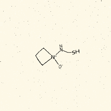 [O-][N+]1(NS)CCC1